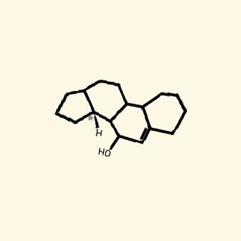 OC1C=C2CCCCC2C2CCC3CCC[C@H]3C12